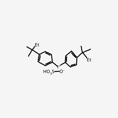 CCC(C)(C)c1ccc([I+]c2ccc(C(C)(C)CC)cc2)cc1.O=S(=O)([O-])O